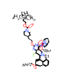 CCc1cccc2cc(OCOC)cc(-c3ncc4c(N5CC6CCC(C5)N6C(=O)OC(C)(C)C)nc(OCCC5CCN(C(=O)OCC[Si](C)(C)C)CC5)nc4c3F)c12